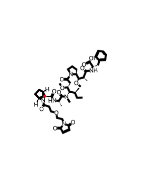 CC[C@H](C)[C@@H]([C@@H](CC(=O)N1CCC[C@H]1[C@H](OC)[C@@H](C)C(=O)N[C@@H](Cc1ccccc1)C(=O)O)OC)N(C)C(=O)[C@H](C)NC(=O)[C@@H]1[C@H]2CC[C@H](C2)N1C(=O)CCOCCN1C(=O)C=CC1=O